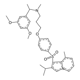 COc1cc(OC)cc(C(C)N(C)CCCOc2ccc(S(=O)(=O)c3c(C(C)C)cn4cccc(C)c34)cc2)c1